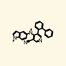 CN(c1ccc2c(ccn2C)c1)c1c(C#N)cncc1-c1ccccc1-c1ccccc1